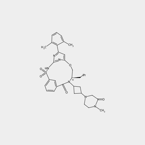 Cc1cccc(C)c1-c1cc2nc(n1)NS(=O)(=O)c1cccc(c1)C(=O)N(C1CC(N3CCN(C)C(=O)C3)C1)[C@H](CC(C)C)CO2